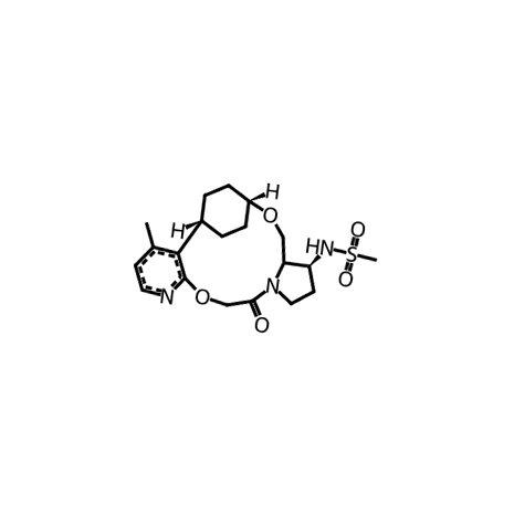 Cc1ccnc2c1[C@H]1CC[C@H](CC1)OCC1[C@@H](NS(C)(=O)=O)CCN1C(=O)CO2